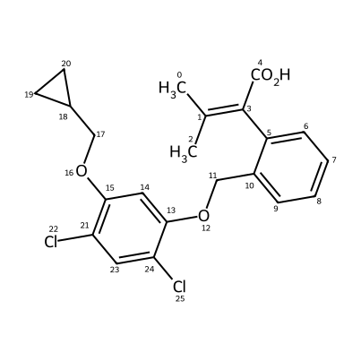 CC(C)=C(C(=O)O)c1ccccc1COc1cc(OCC2CC2)c(Cl)cc1Cl